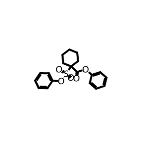 O=C(Oc1ccccc1)C1(S(=O)(=O)Oc2ccccc2)CCCCC1